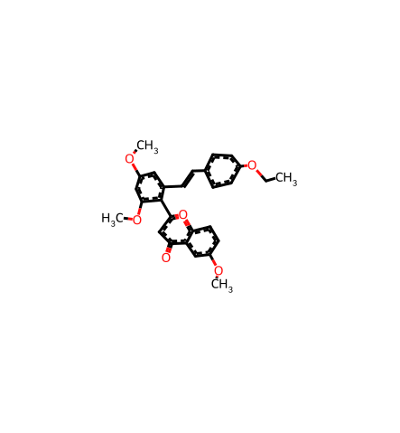 CCOc1ccc(/C=C/c2cc(OC)cc(OC)c2-c2cc(=O)c3cc(OC)ccc3o2)cc1